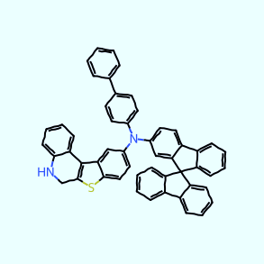 c1ccc(-c2ccc(N(c3ccc4c(c3)C3(c5ccccc5-c5ccccc53)c3ccccc3-4)c3ccc4sc5c(c4c3)-c3ccccc3NC5)cc2)cc1